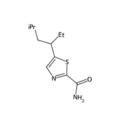 CCC(CC(C)C)c1cnc(C(N)=O)s1